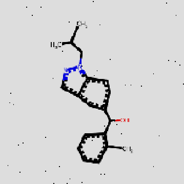 Cc1ccccc1C(O)c1ccc2c(cnn2CC(C)C)c1